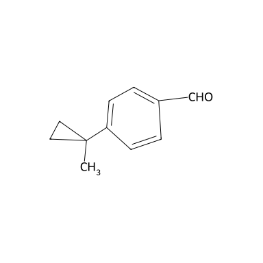 CC1(c2ccc(C=O)cc2)CC1